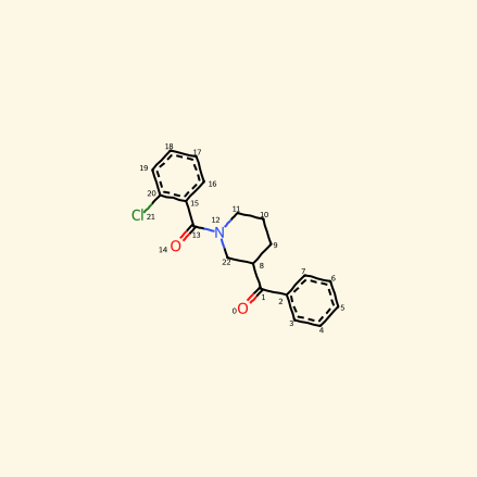 O=C(c1ccccc1)C1CCCN(C(=O)c2ccccc2Cl)C1